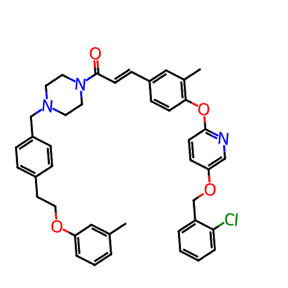 Cc1cccc(OCCc2ccc(CN3CCN(C(=O)C=Cc4ccc(Oc5ccc(OCc6ccccc6Cl)cn5)c(C)c4)CC3)cc2)c1